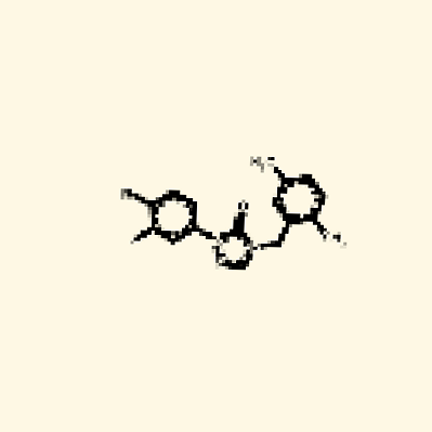 Cc1ccc(C)c(Cn2cnn(-c3ccc(Br)c(F)c3)c2=O)c1